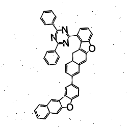 C1=CC2Cc3c(oc4cccc(-c5nc(-c6ccccc6)nc(-c6ccccc6)n5)c34)C=C2C=C1c1ccc2oc3cc4ccccc4cc3c2c1